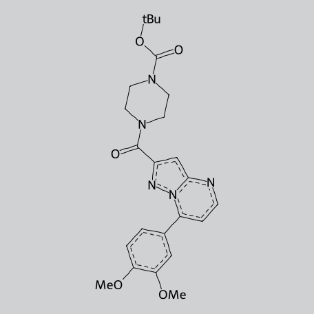 COc1ccc(-c2ccnc3cc(C(=O)N4CCN(C(=O)OC(C)(C)C)CC4)nn23)cc1OC